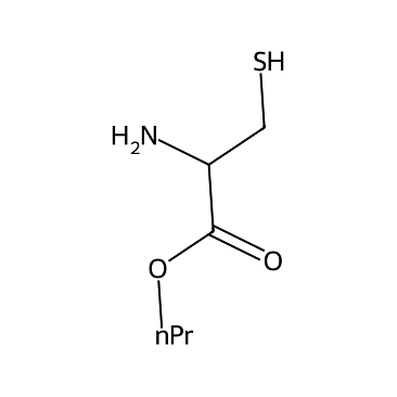 CCCOC(=O)C(N)CS